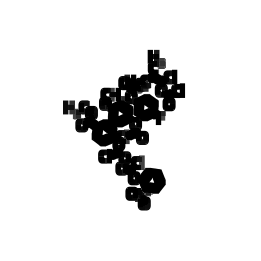 CC(C)C(Cl)OC(=O)Cl.COC(=O)c1ccc(OC(=O)Cl)cc1.COc1ccc(OC(=O)Cl)cc1.O=C(Cl)Oc1ccc(F)cc1.O=C(Cl)Oc1ccccc1[N+](=O)[O-]